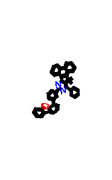 CC1(C)c2c(-c3ccccc3)nc(-c3cccc(-c4cccc5c4oc4ccccc45)c3)nc2-c2c1c1ccccc1c1ccccc21